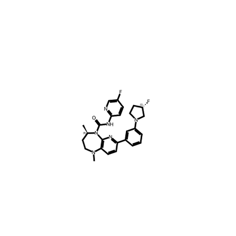 C[C@@H]1CCN(C)c2ccc(-c3cccc(N4CC[C@H](F)C4)c3)nc2N1C(=O)Nc1ccc(F)cn1